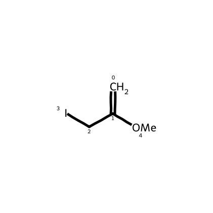 C=C(CI)OC